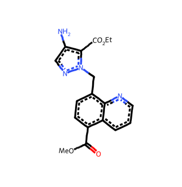 CCOC(=O)c1c(N)cnn1Cc1ccc(C(=O)OC)c2cccnc12